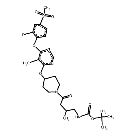 Cc1c(Oc2ccc(S(C)(=O)=O)cc2F)ncnc1OC1CCN(C(=O)CC(C)CNC(=O)OC(C)(C)C)CC1